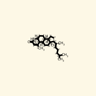 CC1=CC(=O)N[C@@H]2CC[C@H]3[C@@H]4CC[C@H]([C@H](C)CCCC(C)C)[C@@]4(C)CC[C@@H]3[C@@]12C